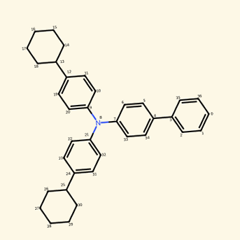 c1ccc(-c2ccc(N(c3ccc(C4CCCCC4)cc3)c3ccc(C4CCCCC4)cc3)cc2)cc1